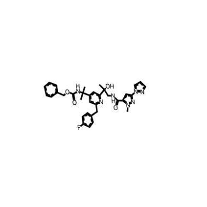 Cn1nc(-n2cccn2)cc1C(=O)NCC(C)(O)c1cc(C(C)(C)NC(=O)OCc2ccccc2)cc(Cc2ccc(F)cc2)n1